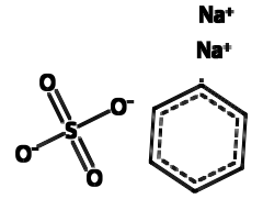 O=S(=O)([O-])[O-].[Na+].[Na+].[c]1ccccc1